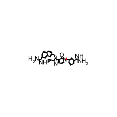 N=C(N)c1cccc(Cn2ccc3nc(C4CC4)n(Cc4ccc5ccc(C(=N)N)cc5c4)c3c2=O)c1